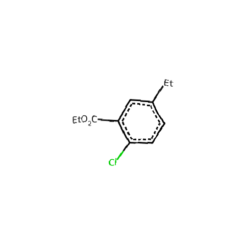 CCOC(=O)c1cc(CC)ccc1Cl